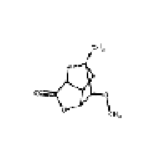 COC1C2OC(=O)C3CC1(C)CC32